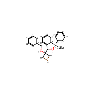 CC(C)(C)[Si](OCC1(OCc2ccccc2)CSC1)(c1ccccc1)c1ccccc1